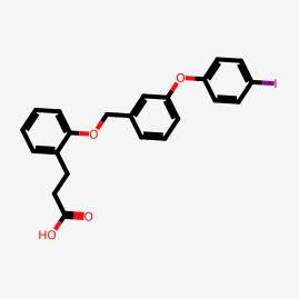 O=C(O)CCc1ccccc1OCc1cccc(Oc2ccc(I)cc2)c1